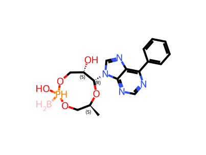 B[PH]1(O)OC[C@H](C)O[C@@H](n2cnc3c(-c4ccccc4)ncnc32)[C@@H](O)CO1